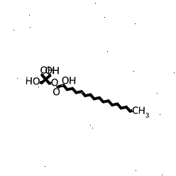 CCCCCCCCCCCCCCCCC(O)C(=O)OCC(CO)(CO)CO